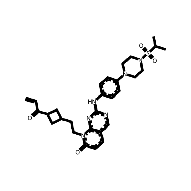 C=CC(=O)C1CC(CCn2c(=O)ccc3cnc(Nc4ccc(N5CCN(S(=O)(=O)C(C)C)CC5)cc4)nc32)C1